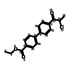 CCOC(=O)c1ccc(-c2ccc(C(=O)C(C)Cl)cc2)cc1